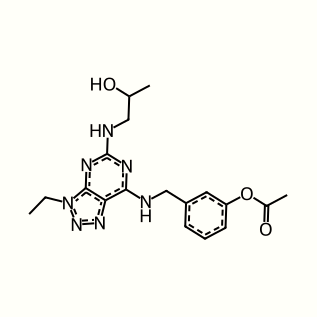 CCn1nnc2c(NCc3cccc(OC(C)=O)c3)nc(NCC(C)O)nc21